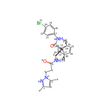 Cc1cc(C)n(CCC(=O)NC[C@H]2[C@H](C(=O)Nc3ccc(Br)cc3)[C@@H]3C=C[C@H]2C32CC2)n1